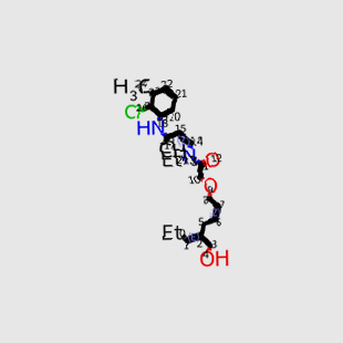 CC/C=C(/CO)C/C=C\COCC(=O)N(/C=C\C(C)NC1CC=CC(C)C1Cl)CC